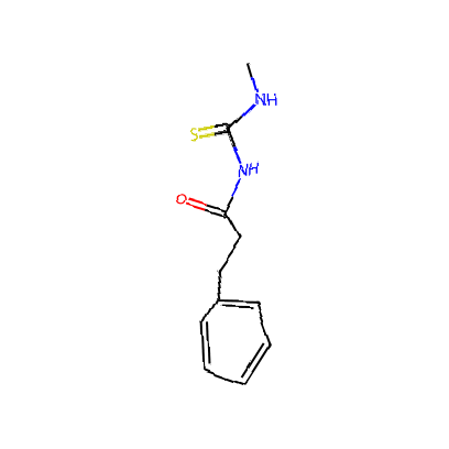 CNC(=S)NC(=O)CCc1ccccc1